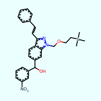 C[Si](C)(C)CCOCn1nc(C=Cc2ccccc2)c2ccc(C(O)c3cccc([N+](=O)[O-])c3)cc21